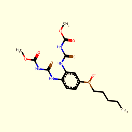 CCCCC[S+]([O-])c1ccc(NC(=S)NC(=O)OC)c(NC(=S)NC(=O)OC)c1